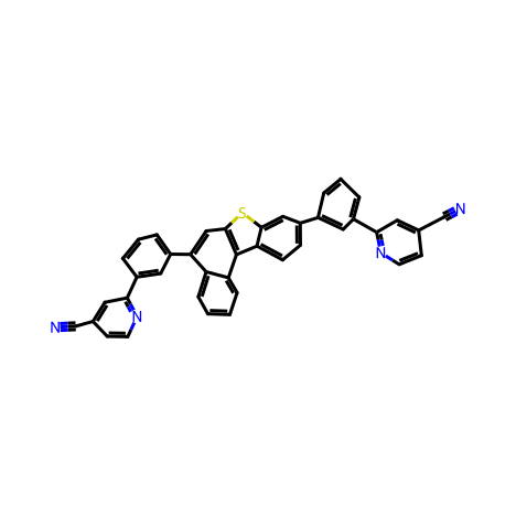 N#Cc1ccnc(-c2cccc(-c3ccc4c(c3)sc3cc(-c5cccc(-c6cc(C#N)ccn6)c5)c5ccccc5c34)c2)c1